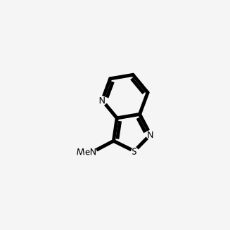 CNc1snc2cccnc12